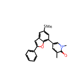 CSc1cc(-c2cc(C)c(=O)n(C)c2)c2oc(-c3ccccc3)cc2c1